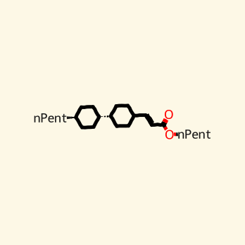 CCCCCOC(=O)/C=C/C1CCC([C@H]2CC[C@H](CCCCC)CC2)CC1